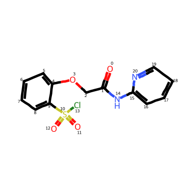 O=C(COc1ccccc1S(=O)(=O)Cl)Nc1ccccn1